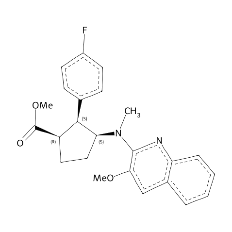 COC(=O)[C@@H]1CC[C@H](N(C)c2nc3ccccc3cc2OC)[C@@H]1c1ccc(F)cc1